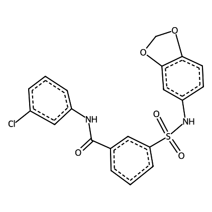 O=C(Nc1cccc(Cl)c1)c1cccc(S(=O)(=O)Nc2ccc3c(c2)OCO3)c1